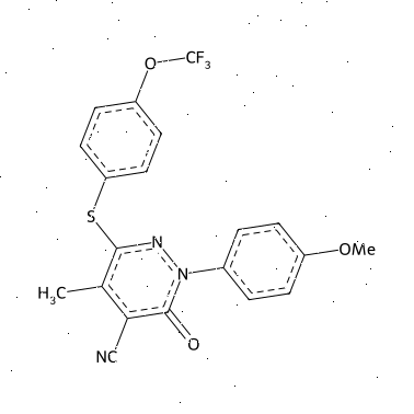 COc1ccc(-n2nc(Sc3ccc(OC(F)(F)F)cc3)c(C)c(C#N)c2=O)cc1